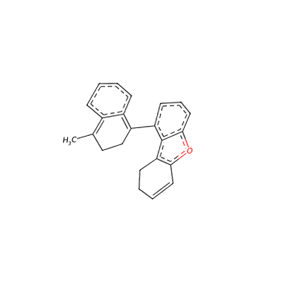 CC1=c2ccccc2=C(c2cccc3oc4c(c23)CCC=C4)CC1